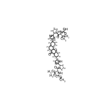 COC(=O)NC(C(=O)N1CCC[C@@H]1c1ncc(-c2ccc3oc4c(ccc5cc(-c6cnc([C@H]7CCCN7C(=O)C(NC(=O)O)C(C)C)[nH]6)ccc54)c(=O)c3c2)[nH]1)C(C)C